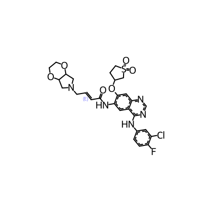 O=C(/C=C/CN1CC2OCCOC2C1)Nc1cc2c(Nc3ccc(F)c(Cl)c3)ncnc2cc1OC1CCS(=O)(=O)C1